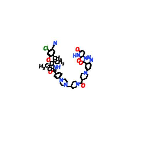 CC1(C)[C@H](NC(=O)c2ccc(N3CCN(CC4CCN(C(=O)C5CCN(c6ccc7nnn(C8CCC(=O)NC8=O)c(=O)c7c6)CC5)CC4)CC3)cc2)C(C)(C)[C@H]1Oc1ccc(C#N)c(Cl)c1